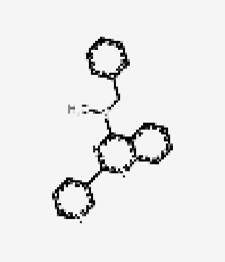 CN(Cc1ccccc1)c1nc(-c2cccnc2)nc2ccccc12